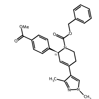 COC(=O)c1ccc([C@@H]2C=C(c3cn(C)nc3C)CCN2C(=O)OCc2ccccc2)cc1